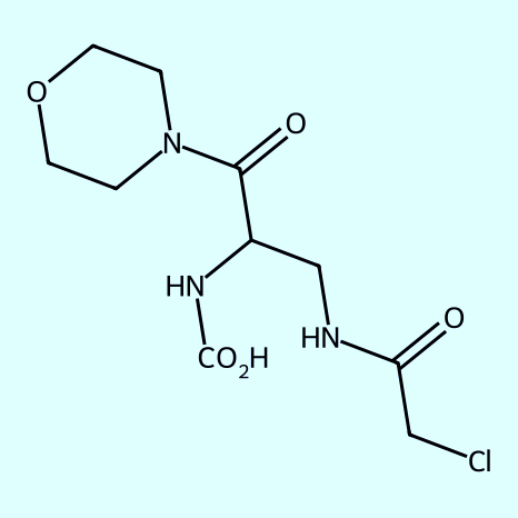 O=C(O)NC(CNC(=O)CCl)C(=O)N1CCOCC1